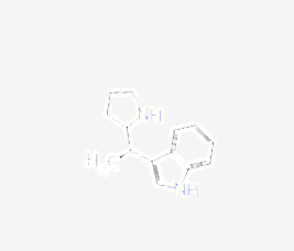 C[C@H](c1c[nH]c2ccccc12)C1CCCN1